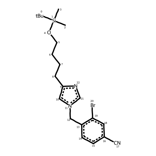 CC(C)(C)[Si](C)(C)OCCCCc1cn(Cc2ccc(C#N)cc2Br)cn1